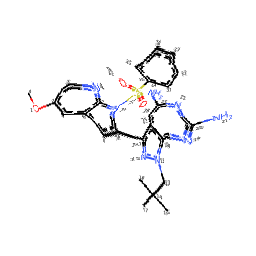 COc1cnc2c(c1)cc(-c1nn(CC(C)(C)C)c3nc(N)nc(N)c13)n2S(=O)(=O)c1ccccc1